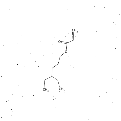 C=CC(=O)OCCCC(CC)CC